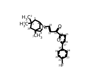 CC1(C)CC2CC(C)(CN2C=CC(=O)c2ccc(-c3ccc(F)cc3)o2)C1